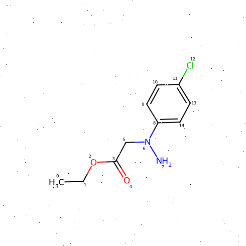 CCOC(=O)CN(N)c1ccc(Cl)cc1